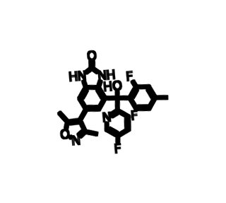 Cc1cc(F)c(C(O)(c2ccc(F)cn2)c2cc(-c3c(C)noc3C)cc3[nH]c(=O)[nH]c23)c(F)c1